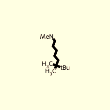 CNCCCCCC(C)(C)C(C)(C)C